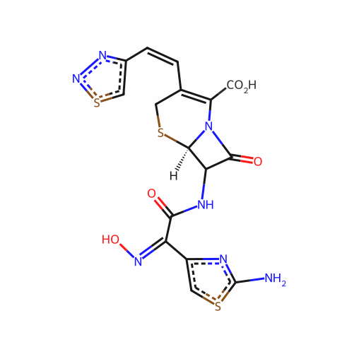 Nc1nc(/C(=N/O)C(=O)NC2C(=O)N3C(C(=O)O)=C(/C=C\c4csnn4)CS[C@H]23)cs1